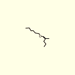 CCCCCCOC=C(C)CCC